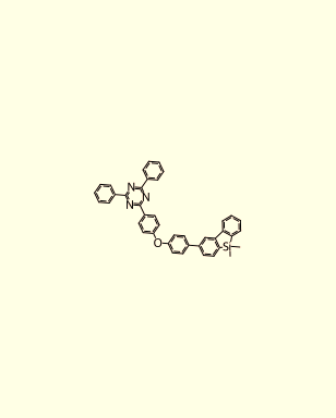 C[Si]1(C)c2ccccc2-c2cc(-c3ccc(Oc4ccc(-c5nc(-c6ccccc6)nc(-c6ccccc6)n5)cc4)cc3)ccc21